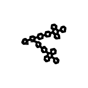 c1ccc(-c2c3ccccc3c(-c3ccc(-c4ccc(-c5ccc(-c6ccccn6)nc5-c5ccc(-c6ccc(-c7c8ccccc8c(-c8ccccc8)c8ccccc78)cc6)cc5)cc4)cc3)c3ccccc23)cc1